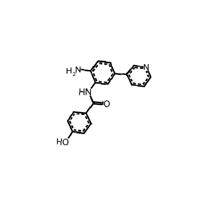 Nc1ccc(-c2cccnc2)cc1NC(=O)c1ccc(O)cc1